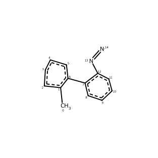 Cc1ccccc1-c1ccccc1N=[N]